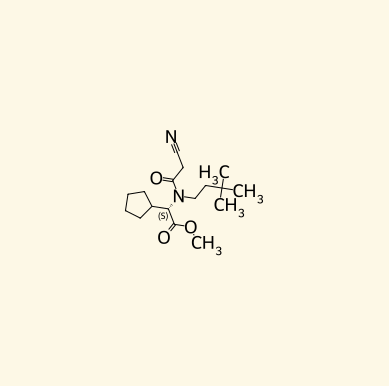 COC(=O)[C@H](C1CCCC1)N(CCC(C)(C)C)C(=O)CC#N